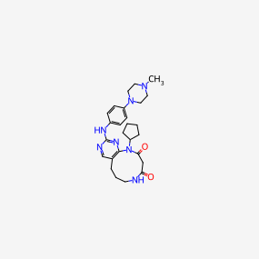 CN1CCN(c2ccc(Nc3ncc4c(n3)N(C3CCCC3)C(=O)CC(=O)NCCC4)cc2)CC1